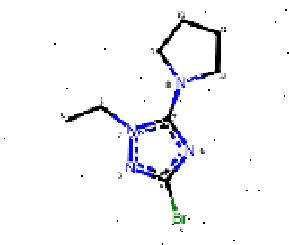 CCn1nc(Br)nc1N1CCCC1